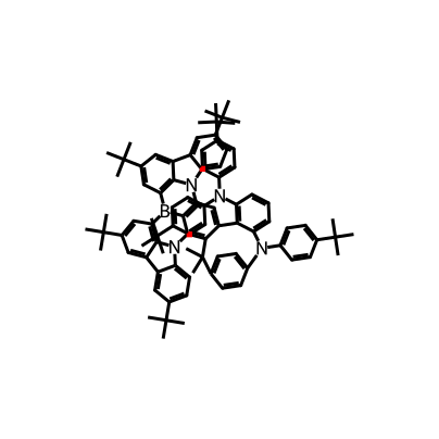 CC(C)(C)c1ccc(N(c2ccc(C(C)(C)C)cc2)c2cccc3c2-c2cc4c5c(c2C(C)(C)c2ccc(cc2)N3c2ccc(C(C)(C)C)cc2)-n2c3ccc(C(C)(C)C)cc3c3cc(C(C)(C)C)cc(c32)B5c2cc(C(C)(C)C)cc3c5cc(C(C)(C)C)ccc5n-4c23)cc1